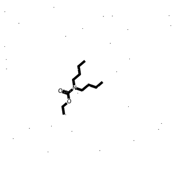 [CH2]COC(=O)N(CCCC)CCCC